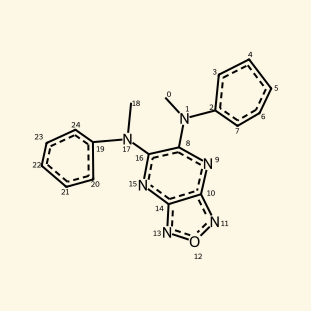 CN(c1ccccc1)c1nc2nonc2nc1N(C)c1ccccc1